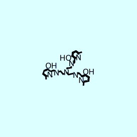 CC1=CC=C(O)C(/C=N/CCN(CC/N=C/c2nc(C)ccc2O)CC/N=C/c2nc(C)ccc2O)N1C